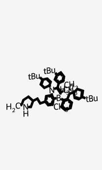 C=C1CCC(CCc2cc(C)c3c(c2)N(C2C=CC(C(C)(C)C)=CC2)C(c2cc(C(C)(C)C)ccc2C)=C(C)B3c2ccccc2CC2(C)C=CC(C(C)(C)C)=CC2)CN1